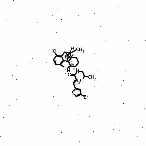 CC(C)CN(C(=O)/C=C/c1cc(Br)cs1)[C@H]1CC[C@H]2[C@H]3Cc4c(O)ccc5c4[C@@]2(CCN3C)[C@H]1O5